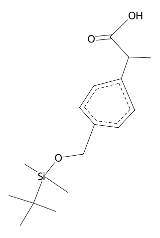 CC(C(=O)O)c1ccc(CO[Si](C)(C)C(C)(C)C)cc1